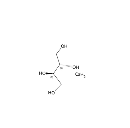 OC[C@@H](O)[C@@H](O)CO.[CaH2]